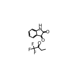 CCC(=O)C(F)(F)F.O=C1Nc2ccccc2C1=O